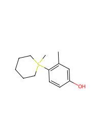 Cc1cc(O)ccc1S1(C)CCCCC1